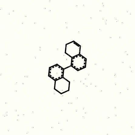 C1=Cc2cccc(-c3cccc4c3CCCC4)c2CC1